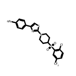 CCCc1ccc(-c2csc(N3CCC(S(=O)(=O)c4cc(C(F)(F)F)ccc4Cl)CC3)n2)cc1